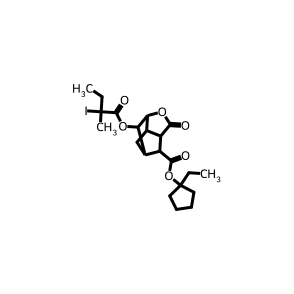 CCC1(OC(=O)C2C3CC4C(OC(=O)C42)C3OC(=O)C(C)(I)CC)CCCC1